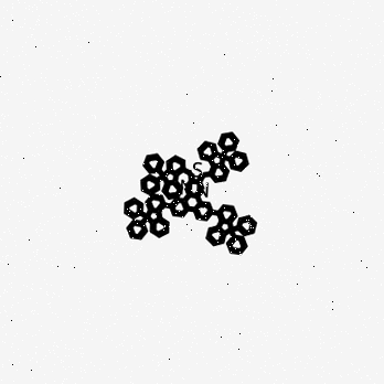 c1ccc(C2(c3ccccc3)c3ccccc3-c3c(-c4ccc5c6ccc(-c7cccc8c7-c7ccccc7C8(c7ccccc7)c7ccccc7)cc6c6nc7c(-c8cccc9c8-c8ccccc8C9(c8ccccc8)c8ccccc8)sc(-c8cccc9c8-c8ccccc8C9(c8ccccc8)c8ccccc8)c7nc6c5c4)cccc32)cc1